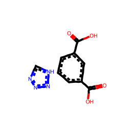 O=C(O)c1cccc(C(=O)O)c1.c1nnn[nH]1